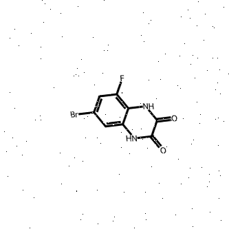 O=c1[nH]c2cc(Br)cc(F)c2[nH]c1=O